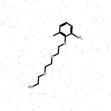 [CH2]c1cccc(N)c1OCCOCCOCCO